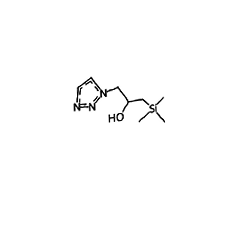 C[Si](C)(C)CC(O)Cn1ccnn1